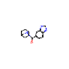 O=C(c1ccc2c(c1)=NCN=2)N1CC2CCC1CC2